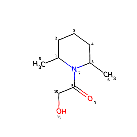 CC1CCCC(C)N1C(=O)CO